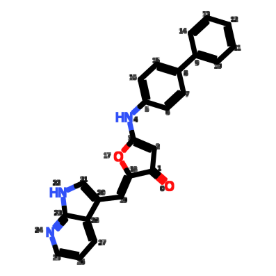 O=C1C=C(Nc2ccc(-c3ccccc3)cc2)O/C1=C\c1c[nH]c2ncccc12